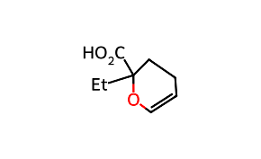 CCC1(C(=O)O)CCC=CO1